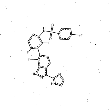 CC(C)c1ccc(S(=O)(=O)Nc2ccc(F)c(-c3ccc4c(-c5ncc[nH]5)n[nH]c4c3F)c2F)cc1